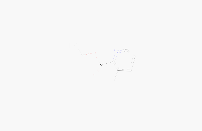 CCOC(=O)c1ncccc1C